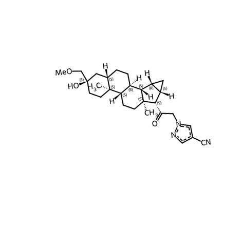 COC[C@@]1(O)CC[C@@]2(C)[C@@H](CC[C@H]3[C@@H]4[C@@H]5C[C@@H]5[C@H](C(=O)Cn5cc(C#N)cn5)[C@@]4(C)CC[C@@H]32)C1